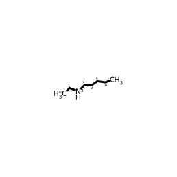 C[CH]NCCCCC